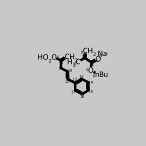 C=C(C)C(=O)OCCCC.C=C(CC=Cc1ccccc1)C(=O)O.[Na]